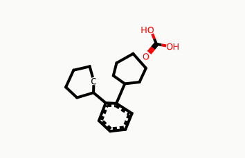 O=C(O)O.c1ccc(C2CCCCC2)c(C2CCCCC2)c1